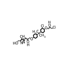 Cc1c(CO)nnn1C[C@H](O)COc1ccc(C(C)(C)c2ccc(OC[C@H](O)CCl)c(Cl)c2)cc1